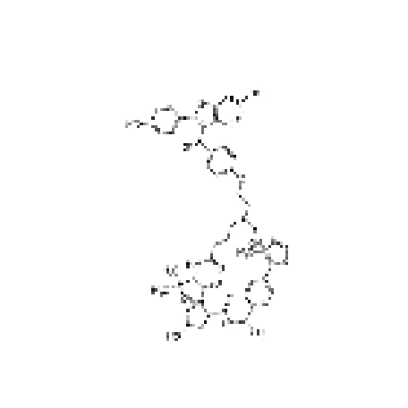 CCN(CCCC(=O)N[C@H](C(=O)N1C[C@@H](O)C[C@H]1C(=O)N[C@@H](C)c1ccc(-c2scnc2C)cc1)C(C)(C)C)CCOc1ccc(C(=O)c2c(-c3ccc(O)cc3)sc3cc(O)ccc23)cc1